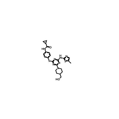 Cc1cnc(Nc2nc(Sc3ccc(NC(=O)C4CC4)cc3)nc(N3CCC(CO)CC3)n2)s1